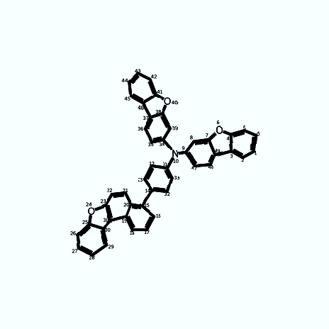 c1ccc2c(c1)oc1cc(N(c3ccc(-c4cccc5c4ccc4oc6ccccc6c45)cc3)c3ccc4c(c3)oc3ccccc34)ccc12